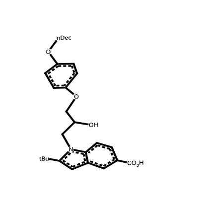 CCCCCCCCCCOc1ccc(OCC(O)Cn2c(C(C)(C)C)cc3cc(C(=O)O)ccc32)cc1